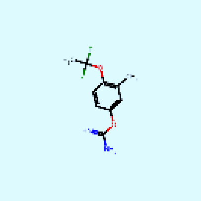 Cc1cc(OC(=N)N)ccc1OC(C)(F)F